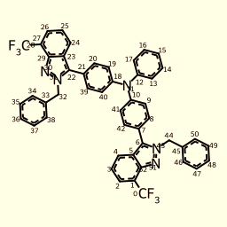 FC(F)(F)c1cccc2c(-c3ccc(N(c4ccccc4)c4ccc(-c5c6cccc(C(F)(F)F)c6nn5Cc5ccccc5)cc4)cc3)n(Cc3ccccc3)nc12